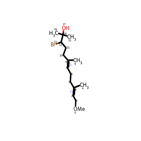 COC/C=C(\C)CC/C=C(\C)CCC(Br)C(C)(C)O